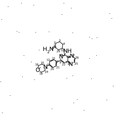 N[C@@H]1CCCC(Nc2nc(-c3ccc(N4CCOCC4)cc3)cc3nccnc23)C1